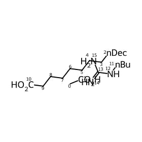 CC(=O)O.CCCCCCCCCCCCCCCCCC(=O)O.CCCCNC(=N)N